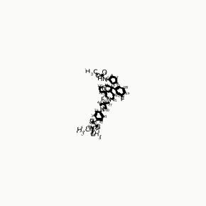 COC(=O)N[C@H]1CCC[C@@H]1C(CN1CCC1)(c1cccc(F)c1)C1CCN(CC2(F)CN(c3ccc(S(=O)(=O)N(C)C)cc3)C2)CC1